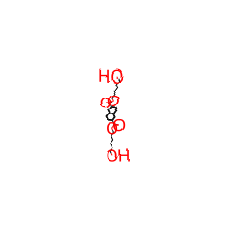 O=C(OCCCCCCO)c1ccc2cc(C(=O)OCCCCCCO)ccc2c1